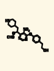 O=COC(CC1CCNCC1)c1ncnc(Oc2ccc(CCO)cc2)c1[N+](=O)[O-]